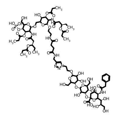 CCC(=O)O[C@H](CC)CC(=O)NC1[C@H](OCCNC(=O)CCC(=O)NCc2cn(CCO[C@@H]3OC(CO)[C@@H](O[C@@H]4OC(CO)[C@H](O)[C@H](O[C@]5(C(=O)O)C[C@@H](O)[C@@H](NC(=O)Cc6ccccc6)C([C@H](O)[C@H](O)CO)O5)C4O)[C@H](O)C3O)nn2)OC(CO[C@@H]2OC(CO)[C@@H](OP(=O)(O)O)[C@H](OC(=O)CC)C2NC(=O)C[C@@H](CC)OC(=O)CC)[C@@H](O)[C@@H]1OC(=O)CC